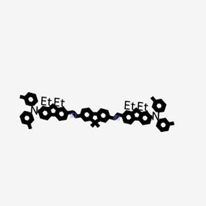 CCC1(CC)c2cc(/C=C/c3ccc4c(c3)C(C)(C)c3cc(/C=C/c5ccc6c(c5)C(CC)(CC)c5cc(N(c7cccc(C)c7)c7cccc(C)c7)ccc5-6)ccc3-4)ccc2-c2ccc(N(c3cccc(C)c3)c3cccc(C)c3)cc21